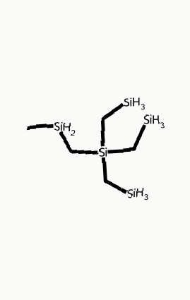 C[SiH2]C[Si](C[SiH3])(C[SiH3])C[SiH3]